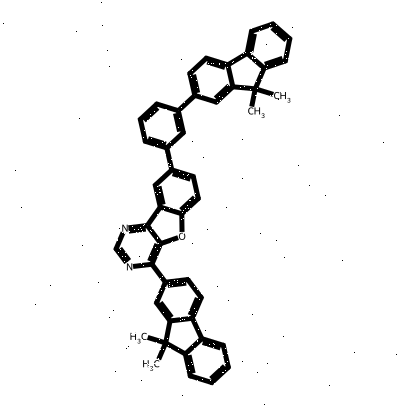 CC1(C)c2ccccc2-c2ccc(-c3cccc(-c4ccc5oc6c(-c7ccc8c(c7)C(C)(C)c7ccccc7-8)ncnc6c5c4)c3)cc21